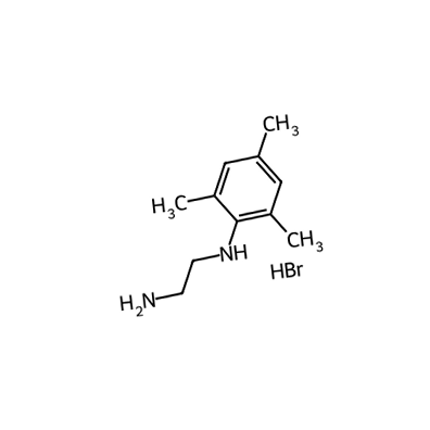 Br.Cc1cc(C)c(NCCN)c(C)c1